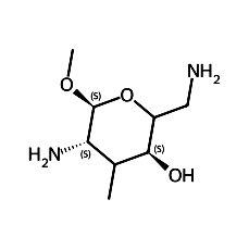 CO[C@H]1OC(CN)[C@@H](O)C(C)[C@@H]1N